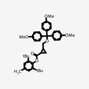 COc1ccc(C(OCC2CC2C(=O)Oc2c(C(C)(C)C)cc(C)cc2C(C)(C)C)(c2ccc(OC)cc2)c2ccc(OC)cc2)cc1